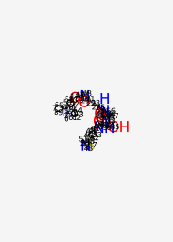 CC/C(=C(\c1ccccc1)c1ccc(OCCN(C)C(=O)CCCCCC(=O)N[C@H](C(=O)N2C[C@H](O)C[C@H]2C(=O)NCc2ccc(-c3scnc3C)cc2)C(C)(C)C)cc1)c1ccccc1